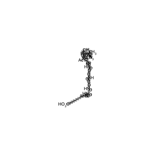 COC(=O)[C@H](CCC(=O)NCCOCCOCC(=O)NCCOCCOCC(=O)NCc1ncc(-c2cc(C)c3c(c2)c(C(C)=O)nn3CC(=O)N2[C@H](C(=O)Nc3nc(Br)ccc3C)C[C@@]3(C)C[C@@H]23)cn1)NC(=O)CCCCCCCCCCCCCCCCC(=O)O